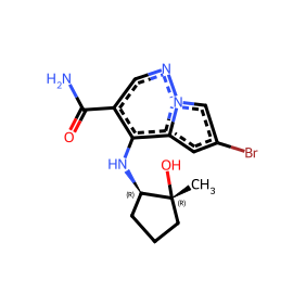 C[C@@]1(O)CCC[C@H]1Nc1c(C(N)=O)cnn2cc(Br)cc12